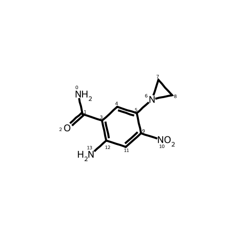 NC(=O)c1cc(N2CC2)c([N+](=O)[O-])cc1N